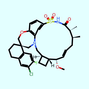 CO[C@H]1/C=C/C[C@H](C)[C@@H](C)C(=O)NS(=O)(=O)c2ccc3c(c2)N(C[C@@H]2CC[C@H]21)C[C@@]1(CCCc2cc(Cl)c(F)cc21)CO3